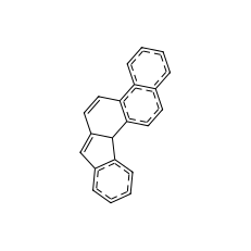 C1=Cc2c(ccc3ccccc23)C2C1=Cc1ccccc12